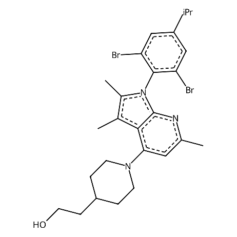 Cc1cc(N2CCC(CCO)CC2)c2c(C)c(C)n(-c3c(Br)cc(C(C)C)cc3Br)c2n1